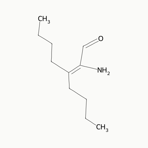 CCCCC(CCCC)=C(N)C=O